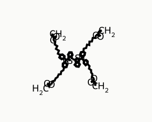 C=CC(=O)OCCCCCCCCc1ccc(N(c2ccc(CCCCCCOC(=O)C=C)cc2)c2sc(-c3sc(N(c4ccc(CCCCCCCCOC(=O)C=C)cc4)c4ccc(CCCCCCOC(=O)C=C)cc4)c4ccccc34)c3ccccc23)cc1